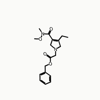 CCC1=C(C(=O)N(C)OC)CN(CC(=O)OCc2ccccc2)C1